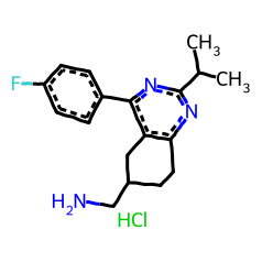 CC(C)c1nc2c(c(-c3ccc(F)cc3)n1)CC(CN)CC2.Cl